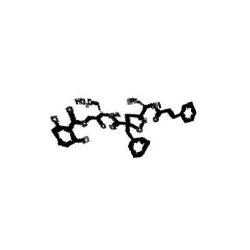 CC(C)[C@H](NC(=O)C=Cc1ccccc1)C1=NOC(Cc2ccccc2)(C(=O)N[C@@H](CC(=O)O)C(=O)COC(=O)c2c(Cl)cccc2Cl)C1